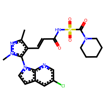 Cc1nn(C)c(-n2ccc3cc(Cl)cnc32)c1C=CC(=O)NS(=O)(=O)C(=O)N1CCCCC1